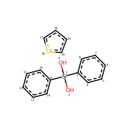 O[Si](O)(c1ccccc1)c1ccccc1.c1ccsc1